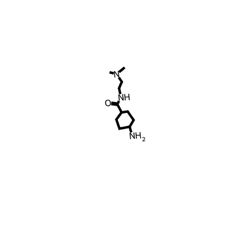 CN(C)CCNC(=O)C1CCC(N)CC1